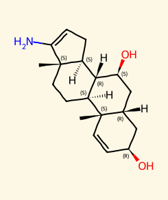 C[C@]12C=C[C@H](O)C[C@H]1C[C@H](O)[C@@H]1[C@@H]2CC[C@]2(C)C(N)=CC[C@@H]12